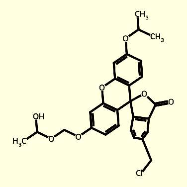 CC(C)Oc1ccc2c(c1)Oc1cc(OCOC(C)O)ccc1C21OC(=O)c2cc(CCl)ccc21